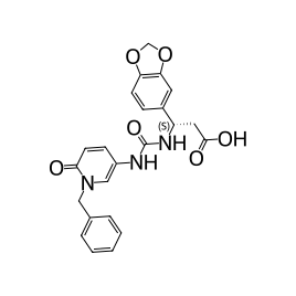 O=C(O)C[C@H](NC(=O)Nc1ccc(=O)n(Cc2ccccc2)c1)c1ccc2c(c1)OCO2